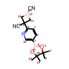 CC1(C)OB(c2ccc(C3(C#N)CB(C#N)C3)nc2)OC1(C)C